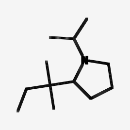 CCC(C)(C)C1CCCN1C(C)C